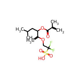 C=C(C)C(=O)OC(CC(C)C)C(=C)OCC(F)(F)S(=O)(=O)O